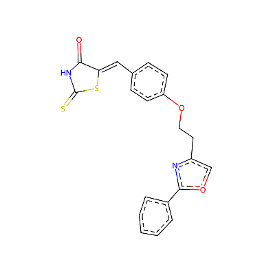 O=C1NC(=S)S/C1=C\c1ccc(OCCc2coc(-c3ccccc3)n2)cc1